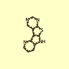 c1cnc2c(c1)[nH]c1sc3ncncc3c12